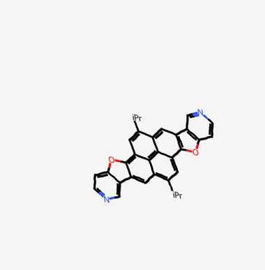 CC(C)c1cc2c3oc4ccncc4c3cc3c(C(C)C)cc4c5oc6ccncc6c5cc1c4c32